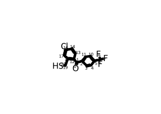 O=C(c1ccc(C(F)(F)F)cc1)c1ccc(Cl)cc1CS